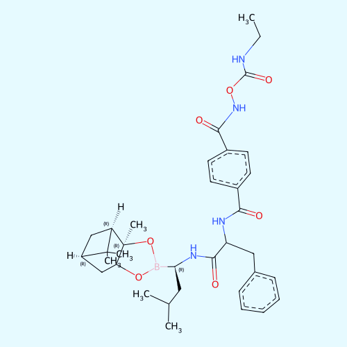 CCNC(=O)ONC(=O)c1ccc(C(=O)NC(Cc2ccccc2)C(=O)N[C@@H](CC(C)C)B2OC3C[C@H]4C[C@H](C4(C)C)[C@@]3(C)O2)cc1